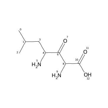 CC(C)CC(N)C(=O)C(N)C(=O)O